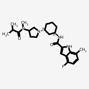 Cc1ccc(F)c2cc(C(=O)N[C@@H]3CCC[C@@H](N4CCC(N(C)C(=O)C(C)C)C4)C3)[nH]c12